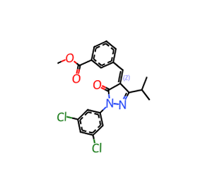 COC(=O)c1cccc(/C=C2\C(=O)N(c3cc(Cl)cc(Cl)c3)N=C2C(C)C)c1